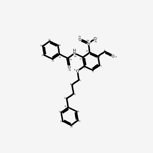 O=Cc1ccc(OCCCCc2ccccc2)c(NC(=O)c2ccccc2)c1[N+](=O)[O-]